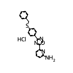 Cl.Nc1cccc(-c2nc(-c3ccc(SCc4ccccc4)cc3)no2)n1